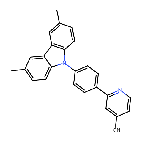 Cc1ccc2c(c1)c1cc(C)ccc1n2-c1ccc(-c2cc(C#N)ccn2)cc1